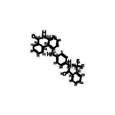 O=C(Nc1ccc(Nc2ccnc3[nH]c(=O)c4ccccc4c23)cc1)c1ccccc1C(F)(F)F